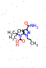 CCCn1nc(C(N)=O)cc1N(C(=O)O)C(C)(C)C